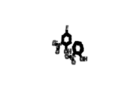 O=[N+]([O-])c1cc(F)ccc1O.O=[N+]([O-])c1ccccc1O